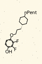 CCCCC[C@H]1CC[C@H](CCCOc2ccc(O)c(F)c2F)CC1